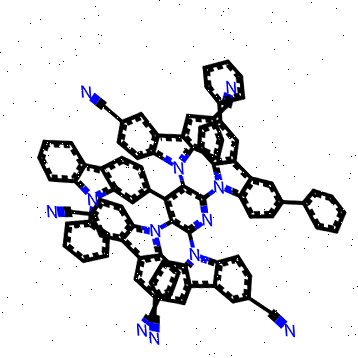 N#Cc1ccc2c(c1)c1cc(C#N)ccc1n2-c1nc(-n2c3ccc(-c4ccccc4)cc3c3cc(-c4ccccc4)ccc32)c(-n2c3ccc(C#N)cc3c3cc(C#N)ccc32)c(-c2ccc3c4ccccc4n(-c4ccccc4)c3c2)c1-n1c2ccc(C#N)cc2c2cc(C#N)ccc21